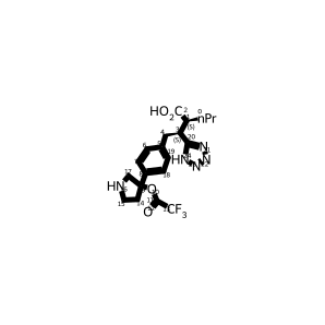 CCC[C@H](C(=O)O)[C@H](Cc1ccc(C2(OC(=O)C(F)(F)F)CCNC2)cc1)c1nnn[nH]1